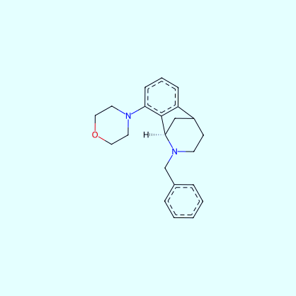 c1ccc(CN2CCC3C[C@@H]2c2c3cccc2N2CCOCC2)cc1